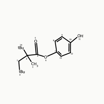 CC(C)(C)CC(C)(C(=O)Oc1ccc(O)cc1)C(C)(C)C